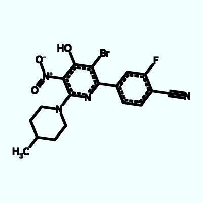 CC1CCN(c2nc(-c3ccc(C#N)c(F)c3)c(Br)c(O)c2[N+](=O)[O-])CC1